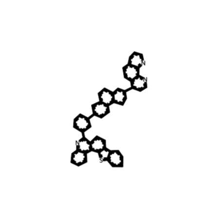 c1cc(-c2ccc3c(ccc4cc(-c5ccnc6c5ccc5cccnc56)ccc43)c2)cc(-c2nc3ccccc3c3c2ccc2c4ccccc4sc23)c1